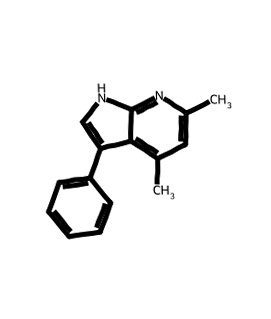 Cc1cc(C)c2c(-c3ccccc3)c[nH]c2n1